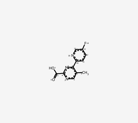 Cc1cnc(C(=O)O)nc1-c1ccc(F)cn1